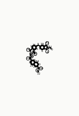 CCN1C(=O)c2ccc(Cc3ccc4c(c3)C(=O)N(COC(=O)c3ccc5cc(C(=O)OC)ccc5c3)C4=O)cc2C1=O